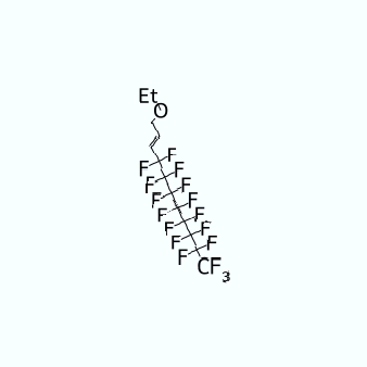 CCOCC=CC(F)(F)C(F)(F)C(F)(F)C(F)(F)C(F)(F)C(F)(F)C(F)(F)C(F)(F)F